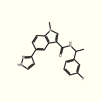 CC(NC(=O)c1cn(C)c2ccc(-c3cc[nH]n3)cc12)c1cccc(F)c1